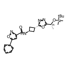 C[C@@H](O[Si](C)(C)C(C)(C)C)c1nnc([C@H]2C[C@H](NC(=O)c3cc(-c4ccccc4)on3)C2)o1